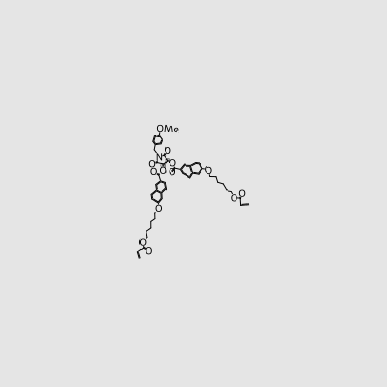 C=CC(=O)OCCCCCCOc1ccc2cc(C(=O)O[C@H]3C(=O)N(Cc4ccc(OC)cc4)C(=O)[C@@H]3OC(=O)c3ccc4cc(OCCCCCCOC(=O)C=C)ccc4c3)ccc2c1